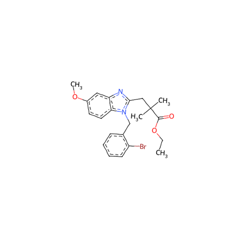 CCOC(=O)C(C)(C)Cc1nc2cc(OC)ccc2n1Cc1ccccc1Br